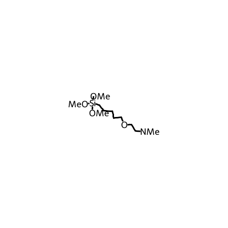 CNCCOCCCCC[Si](OC)(OC)OC